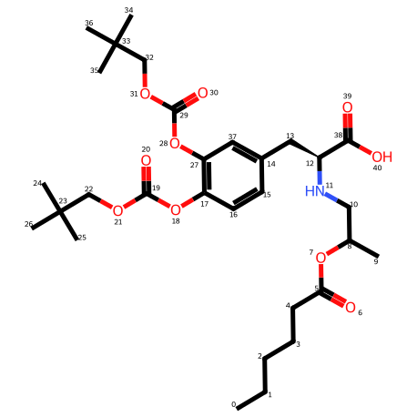 CCCCCC(=O)OC(C)CN[C@@H](Cc1ccc(OC(=O)OCC(C)(C)C)c(OC(=O)OCC(C)(C)C)c1)C(=O)O